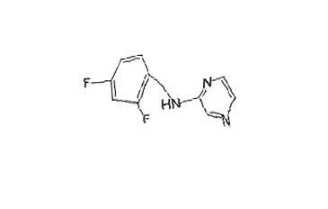 Fc1ccc(CNc2cnccn2)c(F)c1